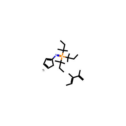 C=C(C)C(C)=CC.CCC(C)(C)P(=NC1=CC=CC1)(C(C)(C)CC)C(C)(C)CC.[Ti]